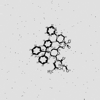 CC(C)=CN(C(=O)NC=O)C1CN(C(c2ccccc2)(c2ccccc2)c2ccccc2)CC(COP(=O)(Cl)N2CCN(c3ncccn3)CC2)O1